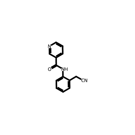 N#CCc1ccccc1NC(=O)c1cccnc1